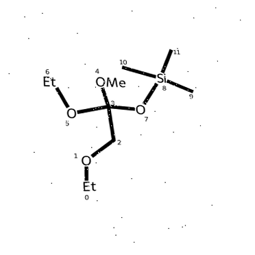 CCOCC(OC)(OCC)O[Si](C)(C)C